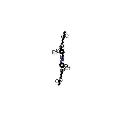 C=CC(=O)OCCCCOOc1ccc(/C=N/N=C/c2ccc(OOCCCCOC(=O)C=C)c(OCC)c2)cc1OCC